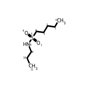 CCCCCS(=O)(=O)NCCC